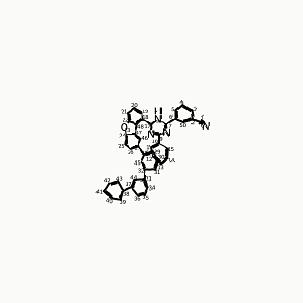 N#Cc1cccc(C2=NC(c3ccccc3)=NC(c3cccc4oc5ccc(-c6cccc(-c7cccc(-c8ccccc8)c7)c6)cc5c34)N2)c1